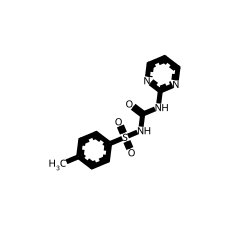 Cc1ccc(S(=O)(=O)NC(=O)Nc2ncccn2)cc1